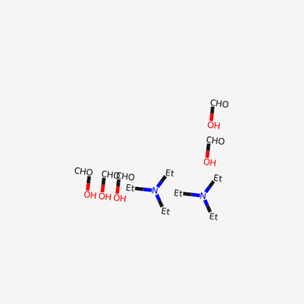 CCN(CC)CC.CCN(CC)CC.O=CO.O=CO.O=CO.O=CO.O=CO